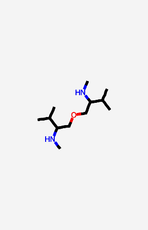 CNC(COCC(NC)C(C)C)C(C)C